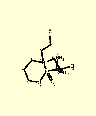 NC(=O)P1(=O)OCCC[N+]1(CCCl)CCCl